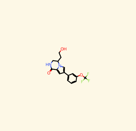 O=C1NCC(CCO)n2cc(-c3cccc(OC(F)(F)F)c3)cc21